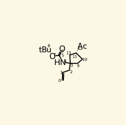 C=CCC1(NC(=O)OC(C)(C)C)CC[C@@H](C(C)=O)C1